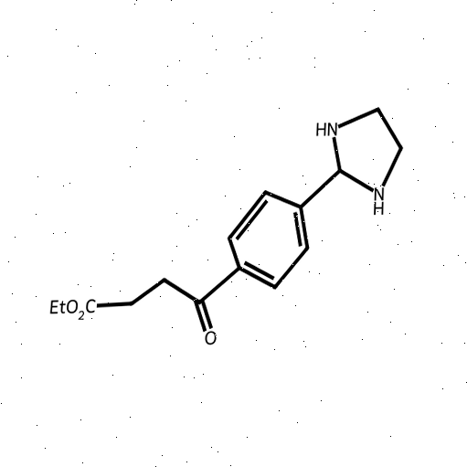 CCOC(=O)CCC(=O)c1ccc(C2NCCN2)cc1